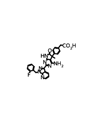 CC1(c2ccc(CC(=O)O)cc2)C(=O)Nc2nc(-c3nn(Cc4ccccc4F)c4ncccc34)nc(N)c21